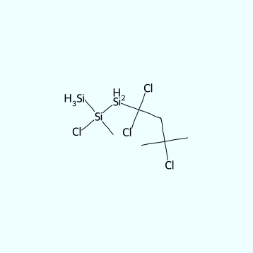 CC(C)(Cl)CC(Cl)(Cl)[SiH2][Si](C)([SiH3])Cl